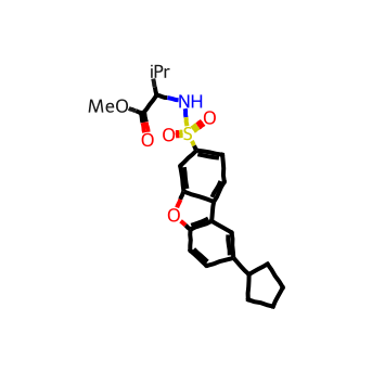 COC(=O)C(NS(=O)(=O)c1ccc2c(c1)oc1ccc(C3CCCC3)cc12)C(C)C